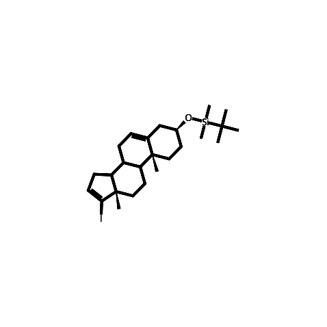 CC(C)(C)[Si](C)(C)O[C@H]1CC[C@@]2(C)C(=CCC3C2CC[C@]2(C)C(I)=CCC32)C1